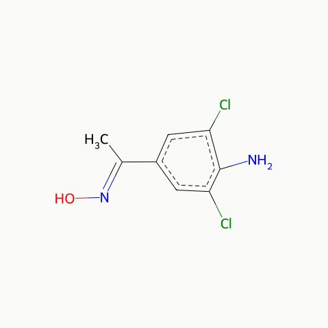 CC(=NO)c1cc(Cl)c(N)c(Cl)c1